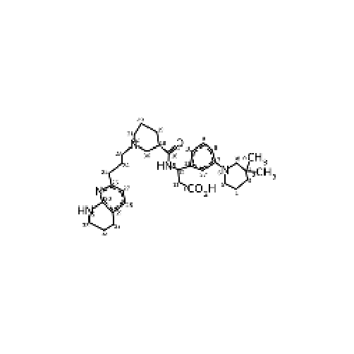 CC1(C)CCCN(c2cccc(C(CC(=O)O)NC(=O)[C@@H]3CCCN(CCCc4ccc5c(n4)NCCC5)C3)c2)C1